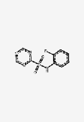 O=S(=O)(Nc1ccccc1F)c1ncncn1